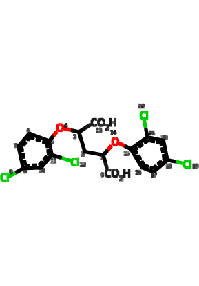 O=C(O)C(CC(Oc1ccc(Cl)cc1Cl)C(=O)O)Oc1ccc(Cl)cc1Cl